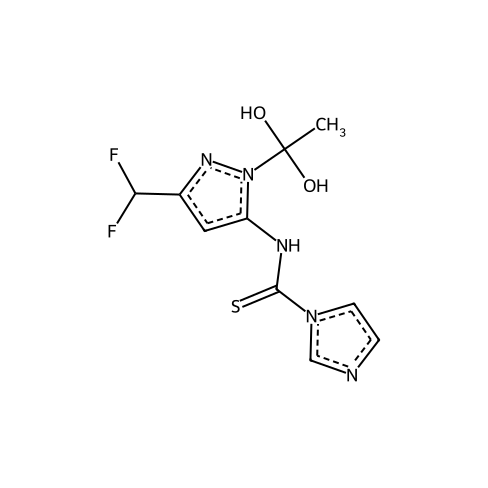 CC(O)(O)n1nc(C(F)F)cc1NC(=S)n1ccnc1